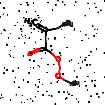 C=C(CCCC)C(=O)OOCCCC